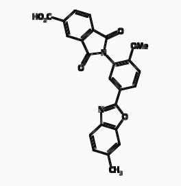 COc1ccc(-c2nc3ccc(C)cc3o2)cc1N1C(=O)c2ccc(C(=O)O)cc2C1=O